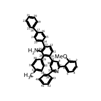 COc1ccccc1-c1cc(-c2ccc(-c3ccc(-c4ccccc4)cc3)c(N)c2-c2ccc(C)cc2)cc(-c2ccccc2)n1